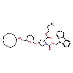 C=CCOC(=O)[C@@H]1C[C@@H](OC2CCCC(COC3CCCCCCCCCC3)O2)CN1C(=O)OCC1c2ccccc2-c2ccccc21